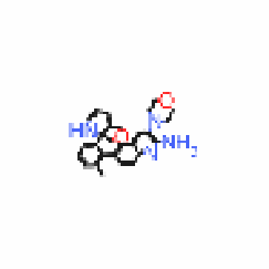 CC1=CC=CNC1(C=O)c1cccc(C)c1-c1ccc2nc(N)c(N3CCOCC3)cc2c1